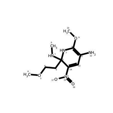 CNC1(CCOC)NC(OC)=C(N)C=C1[N+](=O)[O-]